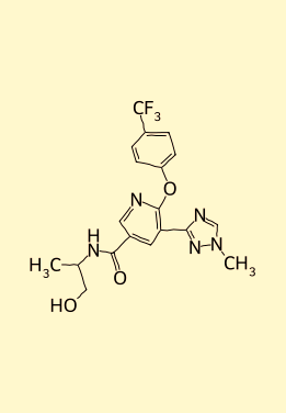 CC(CO)NC(=O)c1cnc(Oc2ccc(C(F)(F)F)cc2)c(-c2ncn(C)n2)c1